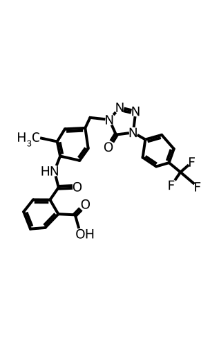 Cc1cc(Cn2nnn(-c3ccc(C(F)(F)F)cc3)c2=O)ccc1NC(=O)c1ccccc1C(=O)O